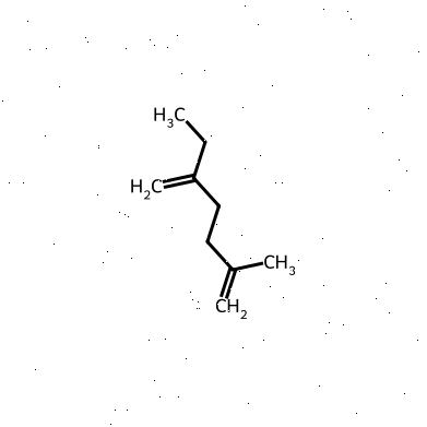 C=C(C)CCC(=C)CC